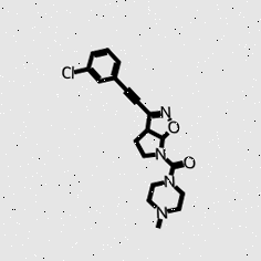 CN1CCN(C(=O)N2CCC3C(C#Cc4cccc(Cl)c4)=NOC32)CC1